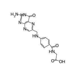 Nc1nc2ncc(CNc3ccc(C(=O)NCC(=O)O)cc3)nc2c(=O)[nH]1